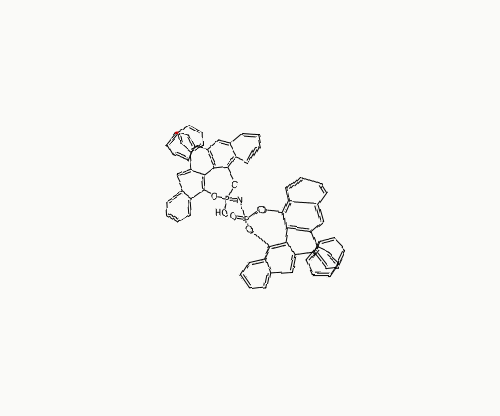 O=P1(N=P2(O)Oc3c(c(-c4ccccc4)cc4ccccc34)-c3c(-c4ccccc4)cc4ccccc4c3O2)Oc2c(c(-c3ccccc3)cc3ccccc23)-c2c(-c3ccccc3)cc3ccccc3c2O1